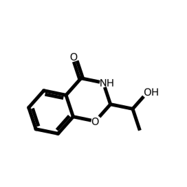 CC(O)C1NC(=O)c2ccccc2O1